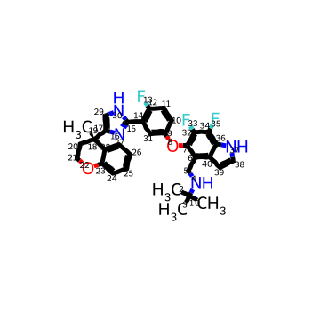 CC(C)(C)NCc1c(Oc2ccc(F)c(-c3nc([C@@]4(C)CCOc5ccccc54)c[nH]3)c2)c(F)c(F)c2[nH]ccc12